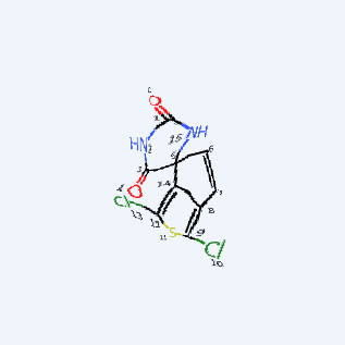 O=C1NC(=O)C2(C=Cc3c(Cl)sc(Cl)c32)N1